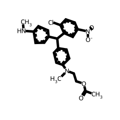 CNc1ccc(C(c2ccc(N(C)CCOC(C)=O)cc2)c2cc([N+](=O)[O-])ccc2Cl)cc1